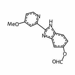 COc1ccnc(-c2nc3cc(OC=O)ccc3[nH]2)c1